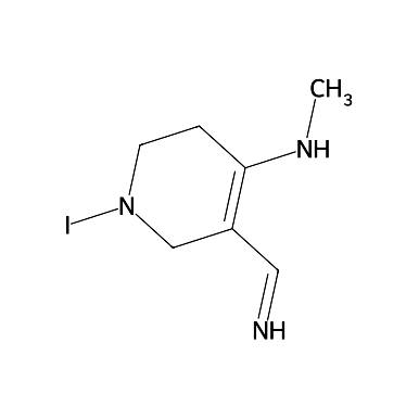 CNC1=C(C=N)CN(I)CC1